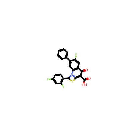 O=C(O)c1c2n(c3cc(-c4ccccc4)c(F)cc3c1=O)C(c1ccc(F)cc1F)S2